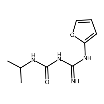 CC(C)NC(=O)NC(=N)Nc1ccco1